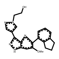 COc1cc2[nH]nc(-c3cnn(CCO)c3)c2nc1-c1cccc2c1CCC2